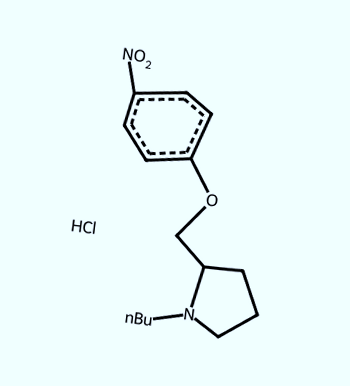 CCCCN1CCCC1COc1ccc([N+](=O)[O-])cc1.Cl